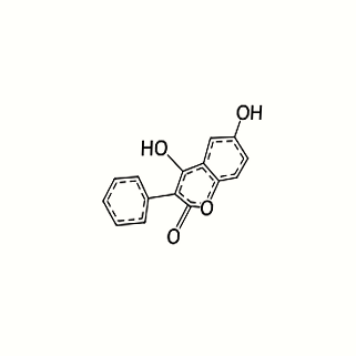 O=c1oc2ccc(O)cc2c(O)c1-c1ccccc1